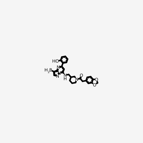 Bc1cnn2c(NCC3CCCN(C(=O)Cc4ccc5c(c4)OCO5)C3)cc(-c3ccccc3O)nc12